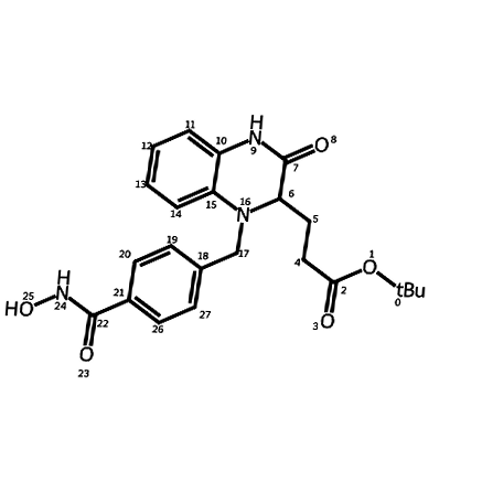 CC(C)(C)OC(=O)CCC1C(=O)Nc2ccccc2N1Cc1ccc(C(=O)NO)cc1